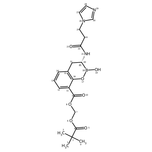 CC(C)(C)C(=O)OCOC(=O)c1cccc2c1OB(O)[C@@H](NC(=O)CCn1ccnc1)C2